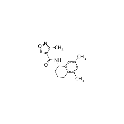 Cc1cc(C)c2c(c1)[C@@H](NC(=O)c1conc1C)CCC2